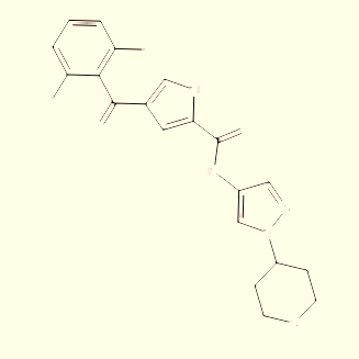 O=C(Nc1cnn(C2CCNCC2)c1)c1cc(C(=O)c2c(F)cccc2Cl)c[nH]1